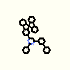 c1ccc(-c2cccc(-c3cc(-c4ccc5c(c4)C4(c6ccccc6-c6ccccc64)c4ccccc4-5)nc(-c4ccccc4)n3)c2)cc1